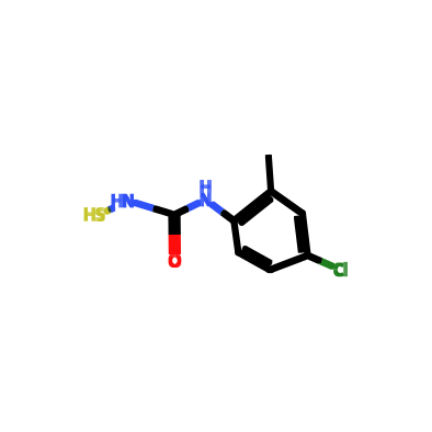 Cc1cc(Cl)ccc1NC(=O)NS